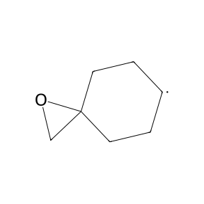 [CH]1CCC2(CC1)CO2